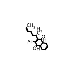 C/C=C\CC[C@@H](C)C1=C(C(C)=O)C(=O)[C@H]2CC=CC[C@H]2C1=O